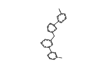 Cc1cccc(-c2cccc(Cc3cccc(-c4cccc(C)c4)c3)c2)c1